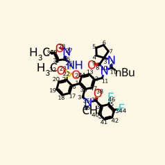 CCCCC1=NC2(CCCC2)C(=O)N1Cc1ccc(-c2ccccc2S(=O)(=O)Nc2noc(C)c2C)c(CN(C)C(=O)c2cccc(F)c2F)c1